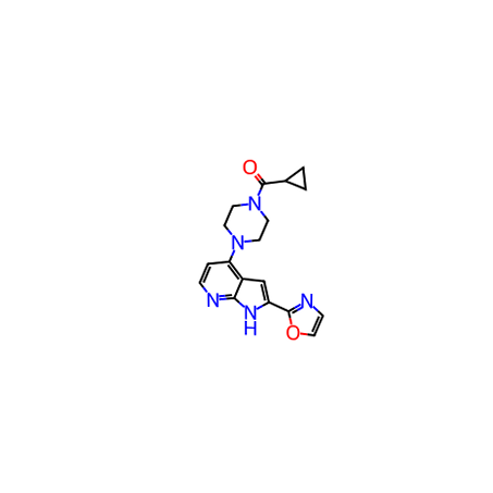 O=C(C1CC1)N1CCN(c2ccnc3[nH]c(-c4ncco4)cc23)CC1